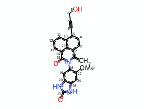 C=c1c2ccc(C#CCO)c3cccc(c(=O)n1-c1cc4[nH]c(=O)[nH]c4cc1OC)c32